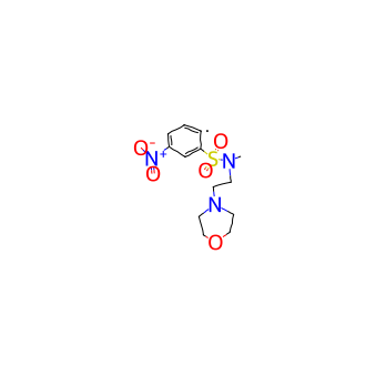 CN(CCN1CCOCC1)S(=O)(=O)c1[c]ccc([N+](=O)[O-])c1